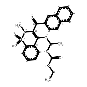 CCOC(=O)OC(C)OC1=C(C(=O)c2ccc3ccccc3c2)N(C)S(=O)(=O)c2ccccc21